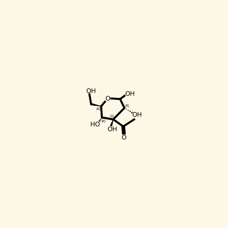 CC(=O)[C@]1(O)[C@H](O)[C@@H](CO)OC(O)[C@@H]1O